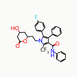 O=C1CC(O)CC(CCn2c(-c3ccc(F)cc3)c(-c3ccccc3)c(C(=O)Nc3ccccc3)c2C(F)(F)F)O1